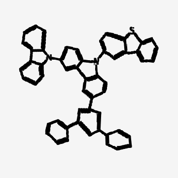 c1ccc(-c2cc(-c3ccccc3)cc(-c3ccc4c(c3)c3cc(-n5c6ccccc6c6ccccc65)ccc3n4-c3ccc4sc5ccccc5c4c3)c2)cc1